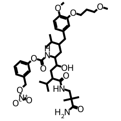 COCCCOc1cc(CC(CC(NC(=O)Oc2cccc(CO[N+](=O)[O-])c2)C(O)CC(C(=O)NCC(C)(C)C(N)=O)C(C)C)C(C)C)ccc1OC